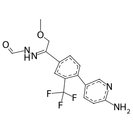 COC/C(=N\NC=O)c1ccc(-c2ccc(N)nc2)c(C(F)(F)F)c1